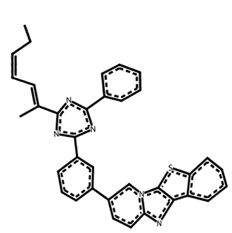 CC/C=C\C=C(/C)c1nc(-c2ccccc2)nc(-c2cccc(-c3ccc4nc5c6ccccc6sc5n4c3)c2)n1